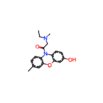 CCN(C)CC(=O)N1c2ccc(C)cc2Oc2cc(O)ccc21